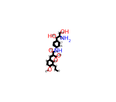 CCCc1c(OC)ccc2cc(C(=O)Nc3ccc([C@H](O)[C@@H](N)CO)cc3)c(=O)oc12